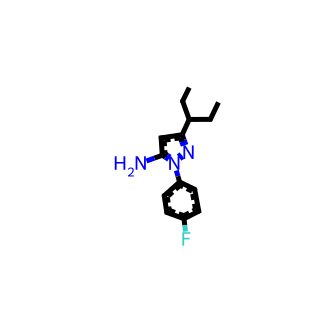 CCC(CC)c1cc(N)n(-c2ccc(F)cc2)n1